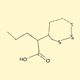 CCCC(C(=O)O)C1CCSSS1